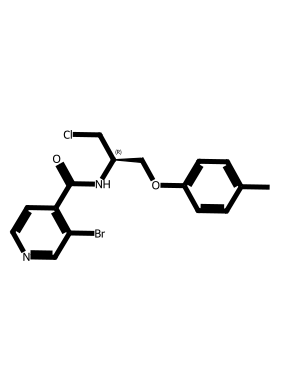 Cc1ccc(OC[C@H](CCl)NC(=O)c2ccncc2Br)cc1